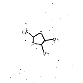 CC1OC(C)C(C)O1